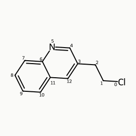 ClCCc1cnc2ccccc2c1